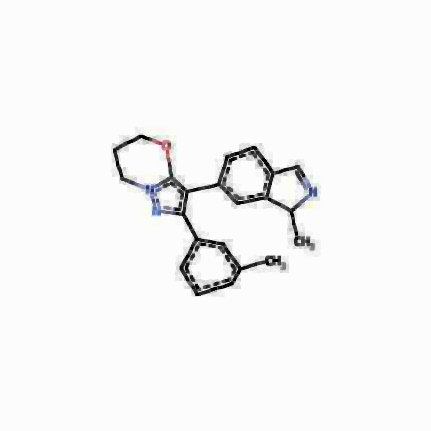 Cc1cccc(-c2nn3c(c2-c2ccc4c(c2)C(C)N=C4)OCCC3)c1